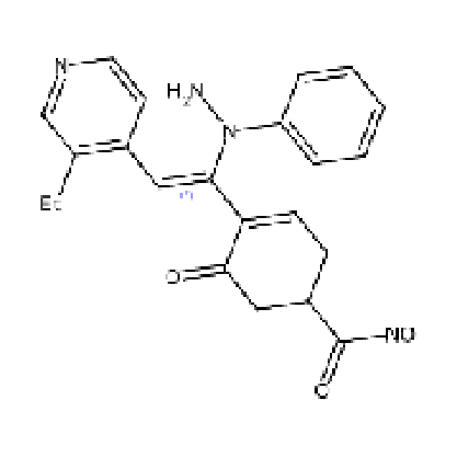 CCc1cnccc1/C=C(/C1=CCC(C(=O)N=O)CC1=O)N(N)c1ccccc1